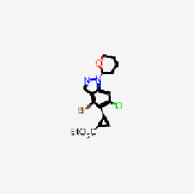 CCOC(=O)[C@@H]1C[C@@H]1c1c(Cl)cc2c(cnn2[C@H]2CCCCO2)c1Br